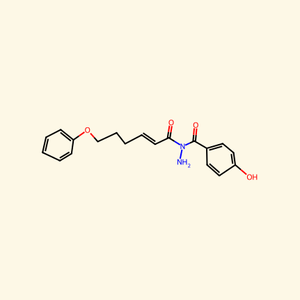 NN(C(=O)C=CCCCOc1ccccc1)C(=O)c1ccc(O)cc1